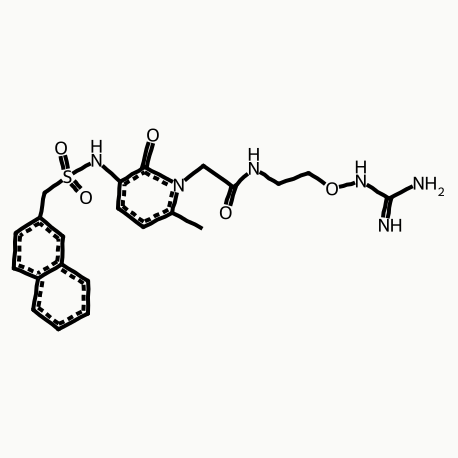 Cc1ccc(NS(=O)(=O)Cc2ccc3ccccc3c2)c(=O)n1CC(=O)NCCONC(=N)N